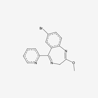 COC1=Nc2ccc(Br)cc2C(c2ccccn2)=NC1